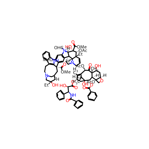 CC(=O)O[C@H]1C(=O)[C@@]2(C)[C@H]([C@H](OC(=O)c3ccccc3)[C@]3(O)C[C@H](OC(=O)[C@H](O)[C@@H](NC(=O)c4ccccc4)c4ccccc4)C(C)=C1C3(C)C)[C@]1(OC(C)=O)CO[C@@H]1C[C@@H]2O.CC[C@]1(O)C[C@H]2C[N@](CCc3c([nH]c4ccccc34)[C@@](C(=O)OC)(c3cc4c(cc3OC)N(C=O)[C@H]3[C@@](O)(C(=O)OC)[C@H](OC(C)=O)[C@]5(CC)C=CCN6CC[C@]43[C@@H]65)C2)C1